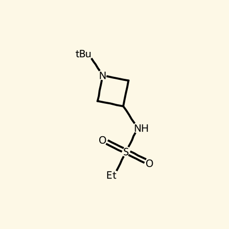 CCS(=O)(=O)NC1CN(C(C)(C)C)C1